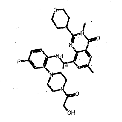 Cc1cc([C@@H](C)Nc2ccc(F)cc2N2CCN(C(=O)CO)CC2)c2nc(C3CCOCC3)n(C)c(=O)c2c1